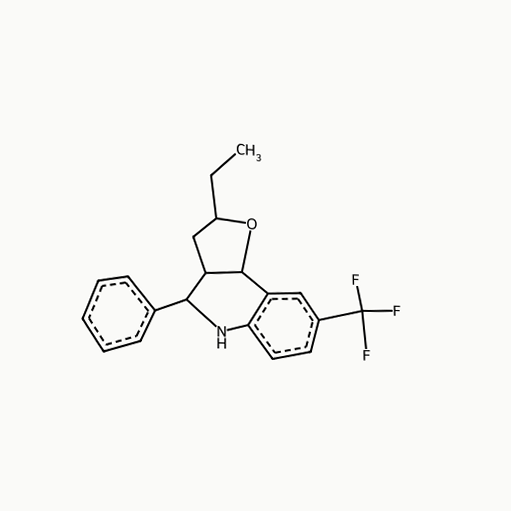 CCC1CC2C(c3ccccc3)Nc3ccc(C(F)(F)F)cc3C2O1